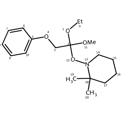 CCOC(COc1[c]cccc1)(OC)ON1CCCCC1(C)C